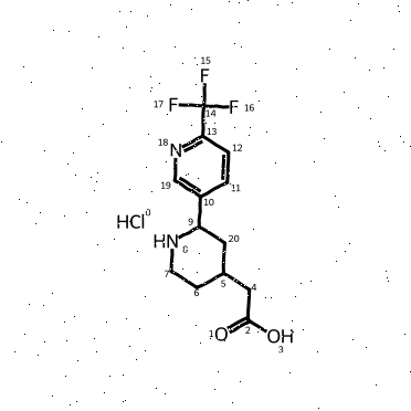 Cl.O=C(O)CC1CCNC(c2ccc(C(F)(F)F)nc2)C1